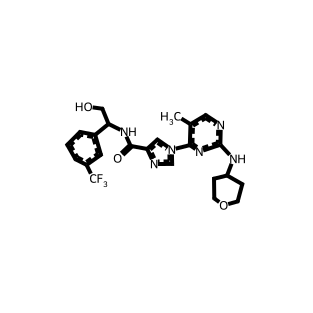 Cc1cnc(NC2CCOCC2)nc1-n1cnc(C(=O)NC(CO)c2cccc(C(F)(F)F)c2)c1